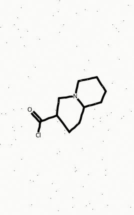 O=C(Cl)C1CCC2CCCCN2C1